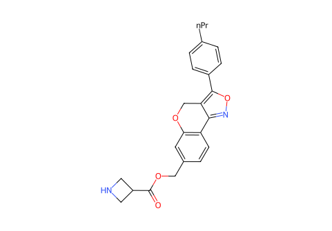 CCCc1ccc(-c2onc3c2COc2cc(COC(=O)C4CNC4)ccc2-3)cc1